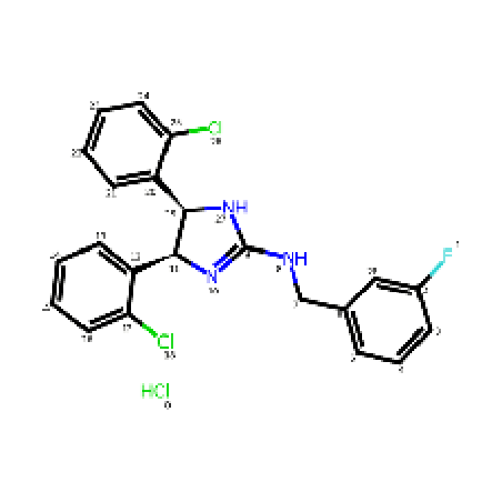 Cl.Fc1cccc(CNC2=N[C@@H](c3ccccc3Cl)[C@@H](c3ccccc3Cl)N2)c1